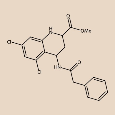 COC(=O)C1CC(NC(=O)Cc2ccccc2)c2c(Cl)cc(Cl)cc2N1